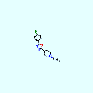 CN1CCC(c2nnc(-c3ccc(F)cc3)o2)CC1